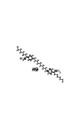 CCCCCCCC(N)=C1C=CN(CCCCCCCCCCN2C=CC(=C(N)CCCCCCC)C=C2)C=C1.Cl.Cl